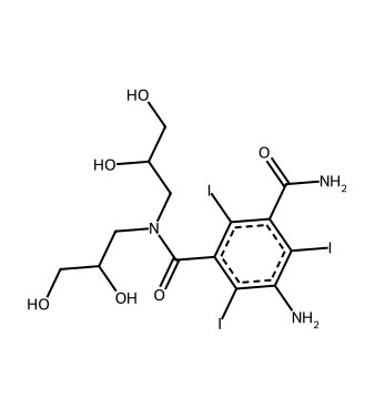 NC(=O)c1c(I)c(N)c(I)c(C(=O)N(CC(O)CO)CC(O)CO)c1I